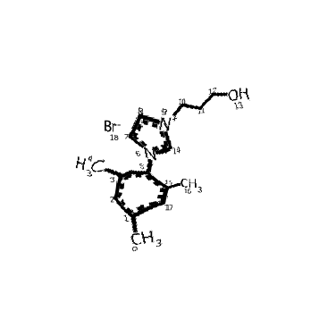 Cc1cc(C)c(-n2cc[n+](CCCO)c2)c(C)c1.[Br-]